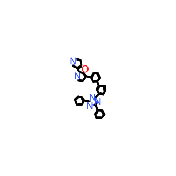 c1ccc(-c2nc(-c3ccccc3)nc(-c3cccc(-c4cccc(-c5ccnc6c5oc5ccncc56)c4)c3)n2)cc1